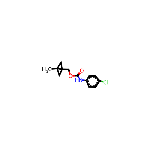 CC12CC1(COC(=O)Nc1ccc(Cl)cc1)C2